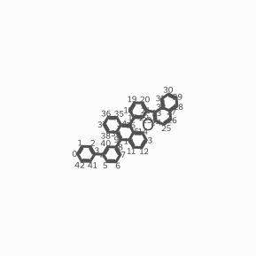 c1ccc(-c2cccc(-c3c4ccccc4c(-c4cccc5c4oc4ccc6ccccc6c45)c4ccccc34)c2)cc1